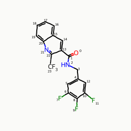 O=C(NCc1cc(F)c(F)c(F)c1)c1cc2ccccc2nc1C(F)(F)F